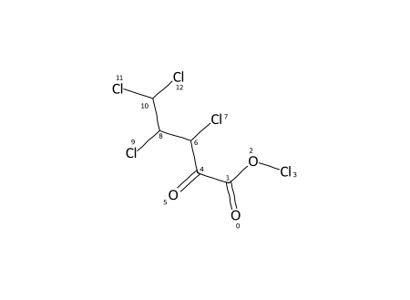 O=C(OCl)C(=O)C(Cl)C(Cl)C(Cl)Cl